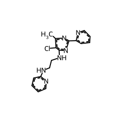 Cc1nc(-c2ccccn2)nc(NCCNc2ccccn2)c1Cl